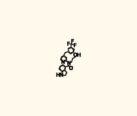 O=C(c1cccc2c1CCN2)N(CCCO)c1cc(Cc2cccc(C(F)(F)F)c2)ccn1